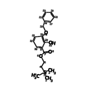 C[Si](C)(C)CCOC(=O)c1cccc(OCc2ccccc2)c1O